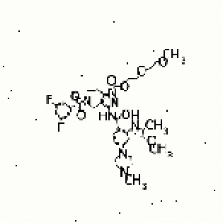 COCCOCCOC(=O)n1nc(NC(=O)c2ccc(N3CCN(C)CC3)cc2N[C@@H](C)COC)c2c1CCN(S(=O)(=O)c1cc(F)cc(F)c1)C2